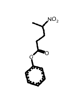 CC(CCC(=O)Oc1ccccc1)[N+](=O)[O-]